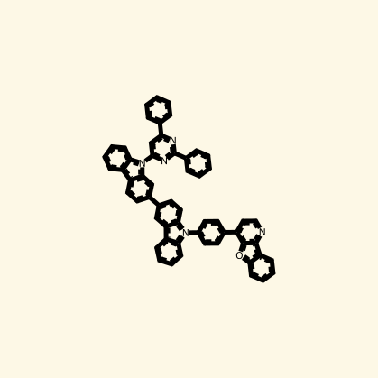 c1ccc(-c2cc(-n3c4ccccc4c4ccc(-c5ccc6c(c5)c5ccccc5n6-c5ccc(-c6ccnc7c6oc6ccccc67)cc5)cc43)nc(-c3ccccc3)n2)cc1